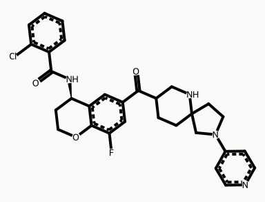 O=C(N[C@@H]1CCOc2c(F)cc(C(=O)C3CCC4(CCN(c5ccncc5)C4)NC3)cc21)c1ccccc1Cl